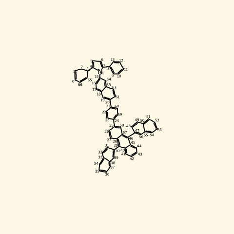 C1=CCC(c2ccc(-c3ccccc3)n2-c2ccc3cc(-c4ccc(-c5ccc6c(-c7ccc8ccccc8c7)c7ccccc7c(-c7ccc8ccccc8c7)c6c5)cc4)ccc3c2)C=C1